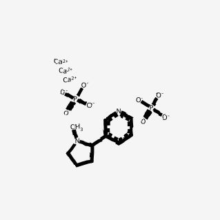 CN1CCCC1c1cccnc1.O=P([O-])([O-])[O-].O=P([O-])([O-])[O-].[Ca+2].[Ca+2].[Ca+2]